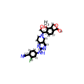 Cc1c(C(CO)N2CCc3nc(Nc4ccc(C#N)c(F)c4)ncc3C2)ccc2c1COC2=O